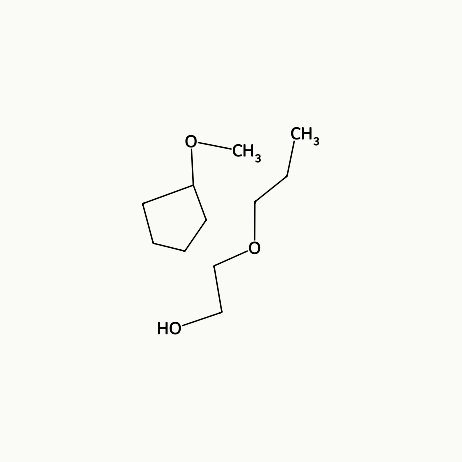 CCCOCCO.COC1CCCC1